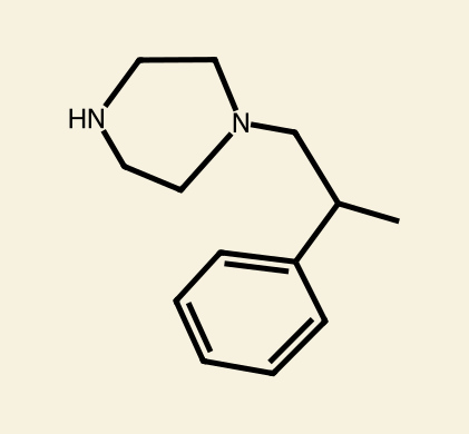 CC(CN1CCNCC1)c1ccccc1